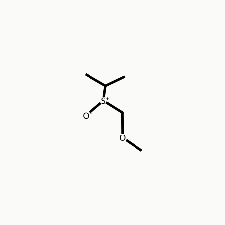 COC[S+]([O-])C(C)C